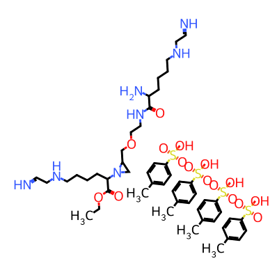 CCOC(=O)C(CCCCNCC=N)N1CC1COCCNC(=O)C(N)CCCCNCC=N.Cc1ccc(S(=O)(=O)O)cc1.Cc1ccc(S(=O)(=O)O)cc1.Cc1ccc(S(=O)(=O)O)cc1.Cc1ccc(S(=O)(=O)O)cc1